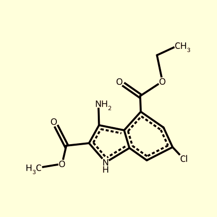 CCOC(=O)c1cc(Cl)cc2[nH]c(C(=O)OC)c(N)c12